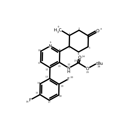 CC1CC(=O)CCC1c1nccc(-c2cc(F)ccc2F)c1NC(=O)OC(C)(C)C